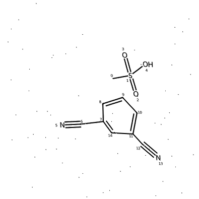 CS(=O)(=O)O.N#Cc1cccc(C#N)c1